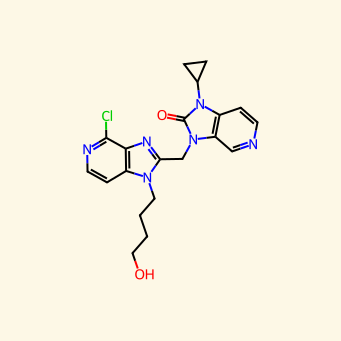 O=c1n(Cc2nc3c(Cl)nccc3n2CCCCO)c2cnccc2n1C1CC1